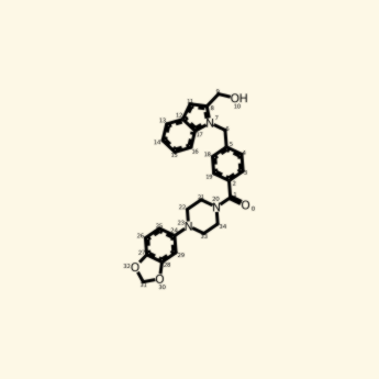 O=C(c1ccc(Cn2c(CO)cc3ccccc32)cc1)N1CCN(c2ccc3c(c2)OCO3)CC1